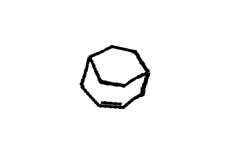 C1=C\CC2CCC(C/1)CC2